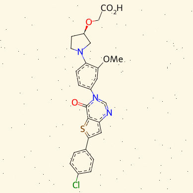 COc1cc(-n2cnc3cc(-c4ccc(Cl)cc4)sc3c2=O)ccc1N1CC[C@@H](OCC(=O)O)C1